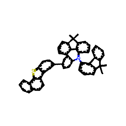 CC1(C)c2ccccc2-c2c(N(c3ccc(-c4ccc5sc6c7ccccc7ccc6c5c4)cc3)c3cccc4c3-c3ccccc3C4(C)C)cccc21